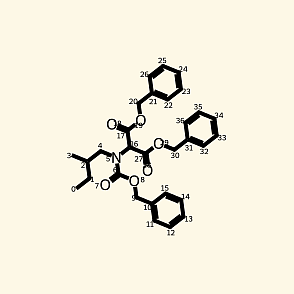 CCC(C)CN(C(=O)OCc1ccccc1)C(C(=O)OCc1ccccc1)C(=O)OCc1ccccc1